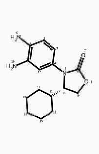 Nc1ccc(N2C(=O)OC[C@@H]2C2CCCCC2)cc1N